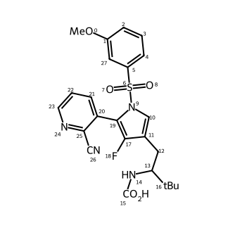 COc1cccc(S(=O)(=O)n2cc(CC(NC(=O)O)C(C)(C)C)c(F)c2-c2cccnc2C#N)c1